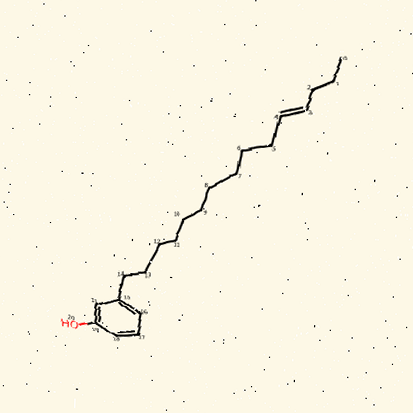 CCCC=CCCCCCCCCCCc1cccc(O)c1